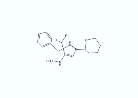 O=C(O)NC1=CN(C2CCCCO2)NC1(Cc1ccccc1)C(F)F